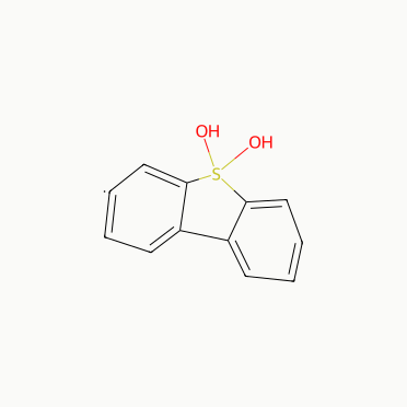 OS1(O)c2c[c]ccc2-c2ccccc21